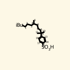 CCC(C)CCCC(C)CCCC(C)(C)c1ccc(S(=O)(=O)O)cc1